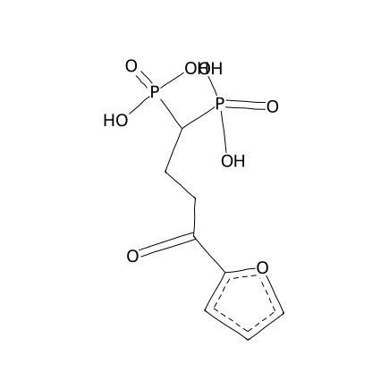 O=C(CCC(P(=O)(O)O)P(=O)(O)O)c1ccco1